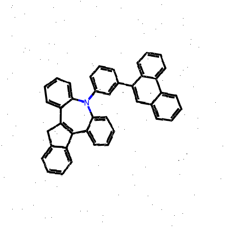 c1cc(-c2cc3ccccc3c3ccccc23)cc(N2c3ccccc3C3=C(c4ccccc4C3)c3ccccc32)c1